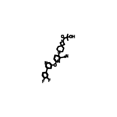 CC(C)(O)C(=O)N1CC2(CCN(c3ccc(Oc4cncc(-c5ccc(F)c(F)c5)c4)nc3C#N)CC2)C1